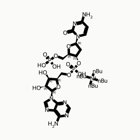 CCCC[N+](CCCC)(CCCC)CCCC.Nc1ccn([C@H]2C[C@H](OP(=O)(O)OC[C@H]3O[C@@H](n4cnc5c(N)ncnc54)[C@H](O)[C@H]3O)[C@@H](COP(=O)(O)O)O2)c(=O)n1